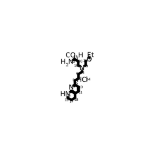 CCOCCN(CCCCc1ccc2c(n1)NCCC2)CC[C@H](N)C(=O)O.Cl